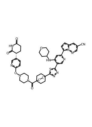 N#Cc1cnn2c(-c3cc(NC4CCOCC4)c(-c4nnc(C56CCC(C(=O)N7CCN(Oc8ccc([C@H]9CCC(=O)NC9=O)cn8)CC7)(CC5)CC6)s4)cn3)ccc2c1